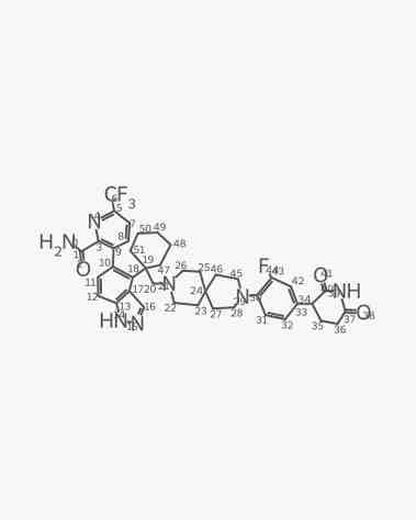 NC(=O)c1nc(C(F)(F)F)ccc1-c1ccc2[nH]ncc2c1C1(CN2CCC3(CC2)CCN(c2ccc(C4CCC(=O)NC4=O)cc2F)CC3)CCCCC1